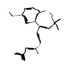 CCc1ccc2c(c1)C(C=CC(C)=CC(=O)O)=CC(C)(C)CO2